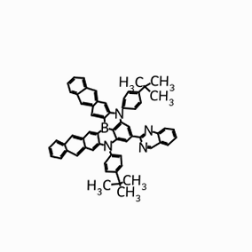 CC(C)(C)c1ccc(N2c3cc4cc5ccccc5cc4cc3B3c4cc5cc6ccccc6cc5cc4N(c4ccc(C(C)(C)C)cc4)c4cc(-c5ncc6ccccc6n5)cc2c43)cc1